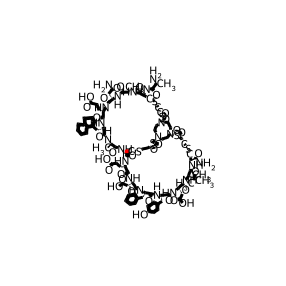 C[C@H](N)C(=O)N[C@H]1CSCCS(=O)(=O)N2CCN3CCN(CC2)S(=O)(=O)CCSC[C@@H](NC(=O)[C@@H](C)NC(=O)[C@H](Cc2cccc4ccccc24)NC(=O)[C@H](CCC(=O)O)NC(=O)[C@H](CC(N)=O)NC(=O)[C@@H](C)NC1=O)C(=O)N[C@@H](CCC(=O)O)C(=O)N[C@@H](CC(=O)O)C(=O)N[C@@H](Cc1ccccc1)C(=O)N[C@@H](Cc1ccc(O)cc1)C(=O)N[C@@H](CC(=O)O)C(=O)N[C@@H](C(C)(C)C)C(=O)N[C@H](C(N)=O)CSCCS3(=O)=O